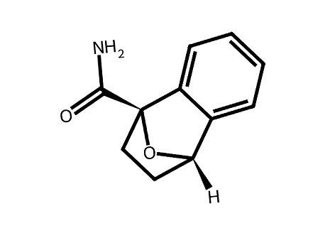 NC(=O)[C@]12CC[C@H](O1)c1ccccc12